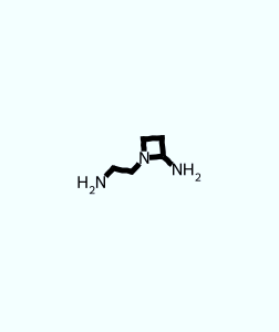 NCCN1CCC1N